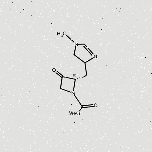 COC(=O)N1CC(=O)[C@@H]1CC1CN(C)C=N1